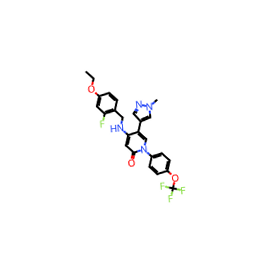 CCOc1ccc(CNc2cc(=O)n(-c3ccc(OC(F)(F)F)cc3)cc2-c2cnn(C)c2)c(F)c1